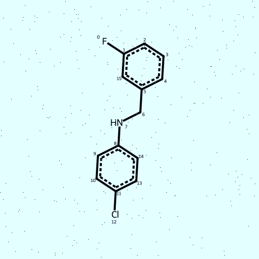 Fc1[c]ccc(CNc2ccc(Cl)cc2)c1